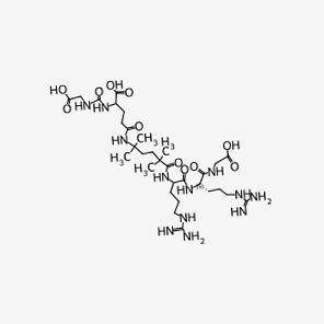 CC(C)(CCC(C)(C)C(=O)NC(CCCNC(=N)N)C(=O)N[C@@H](CCCNC(=N)N)C(=O)NCC(=O)O)NC(=O)CCC(NC(=O)NCC(=O)O)C(=O)O